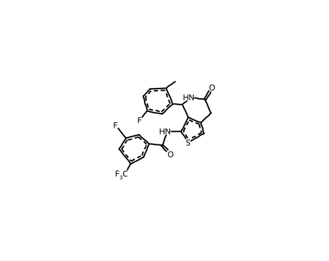 Cc1ccc(F)cc1C1NC(=O)Cc2csc(NC(=O)c3cc(F)cc(C(F)(F)F)c3)c21